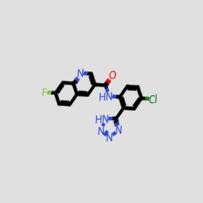 O=C(Nc1ccc(Cl)cc1-c1nnn[nH]1)c1cnc2cc(F)ccc2c1